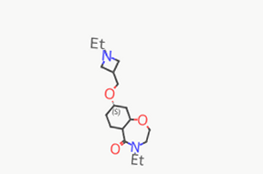 CCN1CC(CO[C@H]2CCC3C(=O)N(CC)CCOC3C2)C1